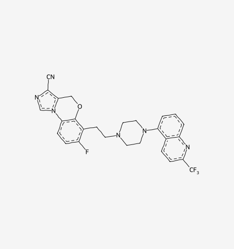 N#Cc1ncn2c1COc1c-2ccc(F)c1CCN1CCN(c2cccc3nc(C(F)(F)F)ccc23)CC1